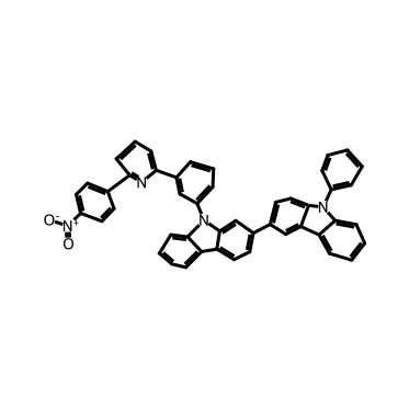 O=[N+]([O-])c1ccc(-c2cccc(-c3cccc(-n4c5ccccc5c5ccc(-c6ccc7c(c6)c6ccccc6n7-c6ccccc6)cc54)c3)n2)cc1